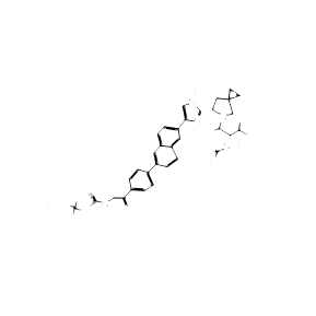 COC(=O)N[C@@H](C(C)C)C(C)N1CC2(CC2)C[C@H]1c1nc(-c2ccc3cc(-c4ccc(C(=O)CNC(=O)OC(C)(C)C)cc4)ccc3c2)c[nH]1